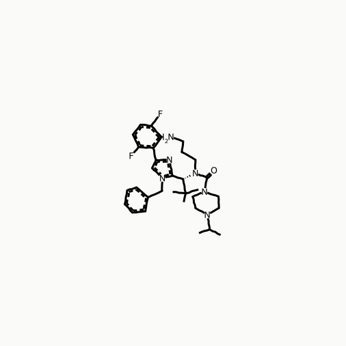 CC(C)N1CCN(C(=O)N(CCCN)[C@@H](c2nc(-c3cc(F)ccc3F)cn2Cc2ccccc2)C(C)(C)C)CC1